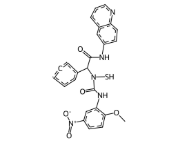 COc1ccc([N+](=O)[O-])cc1NC(=O)N(S)C(C(=O)Nc1ccc2ncccc2c1)c1ccccc1